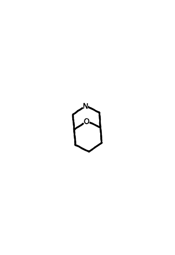 C1CC2C[N]CC(C1)O2